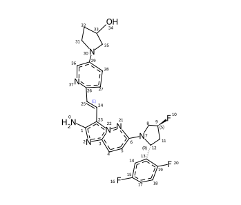 Nc1nc2ccc(N3C[C@@H](F)C[C@@H]3c3cc(F)ccc3F)nn2c1/C=C/c1ccc(N2CCC(O)C2)cn1